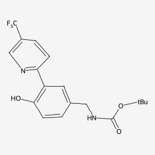 CC(C)(C)OC(=O)NCc1ccc(O)c(-c2ccc(C(F)(F)F)cn2)c1